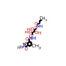 C/C=C/CC(=O)NOCC(O)[C@@H](O)[C@@H](O)CONC(=O)c1cc(C)cc(C(=O)N(CCC)CCC)c1